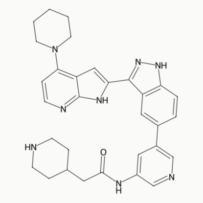 O=C(CC1CCNCC1)Nc1cncc(-c2ccc3[nH]nc(-c4cc5c(N6CCCCC6)ccnc5[nH]4)c3c2)c1